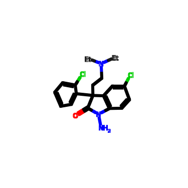 CCN(CC)CCC1(c2ccccc2Cl)C(=O)N(N)c2ccc(Cl)cc21